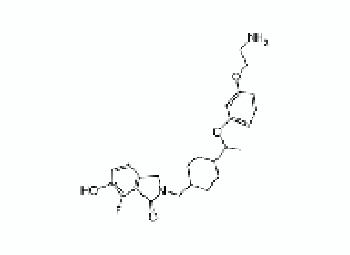 CC(Oc1cccc(OCCN)c1)C1CCC(CN2Cc3ccc(O)c(F)c3C2=O)CC1